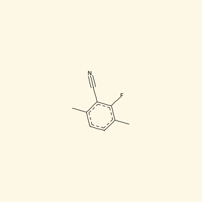 Cc1ccc(C)c(C#N)c1F